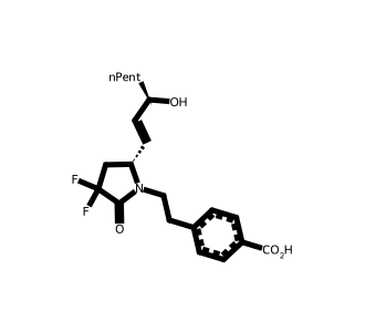 CCCCC[C@@H](O)C=C[C@H]1CC(F)(F)C(=O)N1CCc1ccc(C(=O)O)cc1